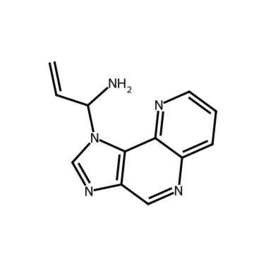 C=CC(N)n1cnc2cnc3cccnc3c21